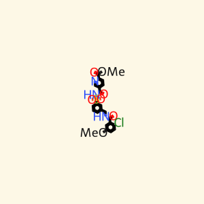 COC(=O)c1ccc(C(=O)NS(=O)(=O)c2cccc(CNC(=O)c3cc(OC)ccc3Cl)c2)cn1